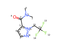 CN(C)C(=O)c1[c]cnn1CC(F)(F)F